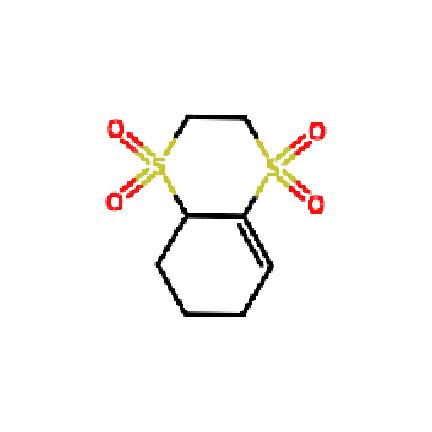 O=S1(=O)CCS(=O)(=O)C2CCCC=C21